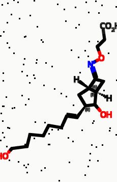 O=C(O)CCON=C1C[C@H]2C(O)[C@@H](C=CCCCCCCO)C[C@H]12